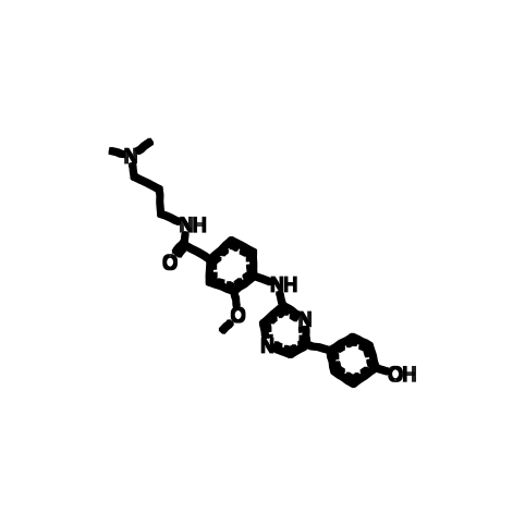 COc1cc(C(=O)NCCCN(C)C)ccc1Nc1cncc(-c2ccc(O)cc2)n1